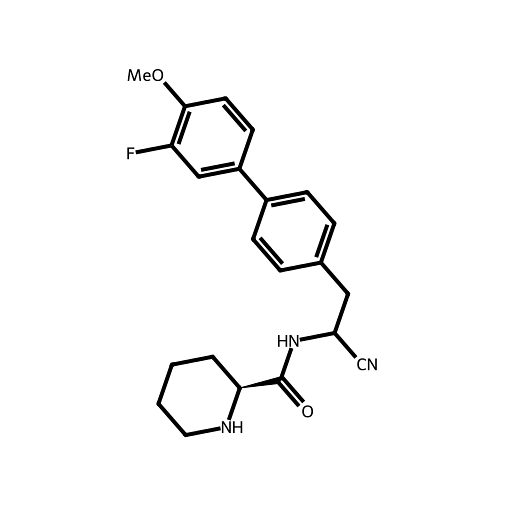 COc1ccc(-c2ccc(CC(C#N)NC(=O)[C@@H]3CCCCN3)cc2)cc1F